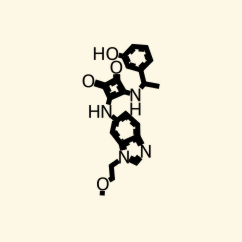 COCCn1cnc2ccc(Nc3c(NC(C)c4cccc(O)c4)c(=O)c3=O)cc21